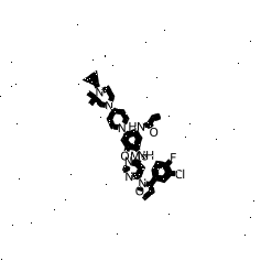 C=CC(=O)Nc1cc(Nc2cc(N3OCCC3c3ccc(F)c(Cl)c3)ncn2)c(OC)cc1N1CCC(N2CCN(C3CC3)C(C)(C)C2)CC1